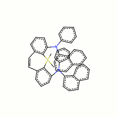 CS1(C)c2c(cccc2N(c2ccccc2)c2cccc3ccccc23)C=Cc2cccc(N(c3ccccc3)c3cccc4ccccc34)c21